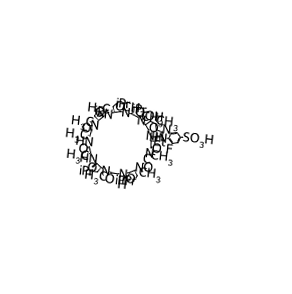 CC[C@@H]1NC(=O)[C@H]([C@H](O)[C@H](C)Cc2nc3cc(S(=O)(=O)O)cc(F)c3[nH]2)N(C)C(=O)[C@H](C(C)C)N(C)C(=O)[C@H](CC(C)C)N(C)C(=O)[C@H](CC(C)C)N(C)C(=O)[C@@H](C)NC(=O)[C@H](C)NC(=O)[C@H](CC(C)C)N(C)C(=O)[C@H](C(C)C)NC(=O)[C@H](CC(C)C)N(C)C(=O)CN(C)C1=O